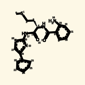 CSCC[C@H](NC(=O)c1ccccc1N)C(=O)Nc1nc(-c2ccccc2)cs1